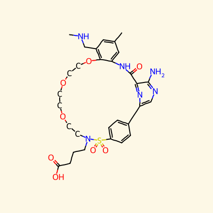 CNCc1cc(C)cc2c1OCCOCCOCCN(CCCC(=O)O)S(=O)(=O)c1ccc(cc1)-c1cnc(N)c(n1)C(=O)N2